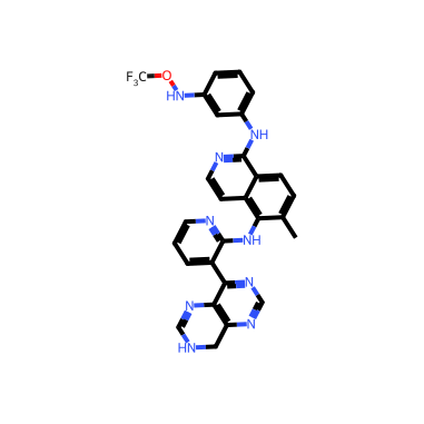 Cc1ccc2c(Nc3cccc(NOC(F)(F)F)c3)nccc2c1Nc1ncccc1-c1ncnc2c1N=CNC2